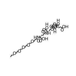 CCCOCCOCCOCCOCCOCCC(=O)N[C@H](CCC(=O)N[C@@H](CCOP(=O)(O)N[C@@H](CCC(=O)O)C(=O)O)C(=O)O)C(=O)O